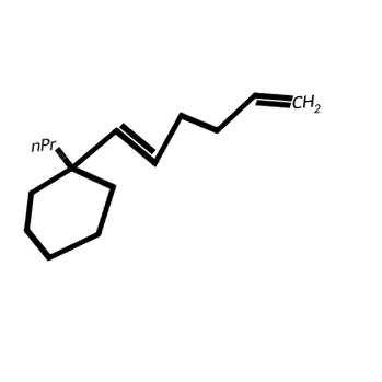 C=CCCC=CC1(CCC)CCCCC1